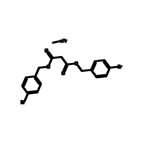 CCCC.O=C(CC(=O)OCc1ccc(Br)cc1)OCc1ccc(Br)cc1